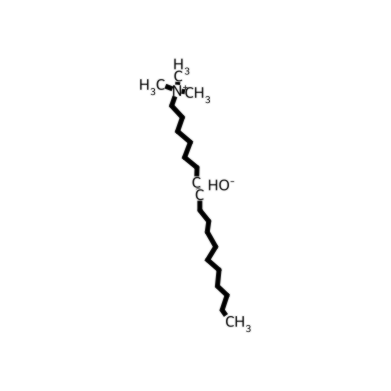 CCCCCCCCCCCCCCCCCC[N+](C)(C)C.[OH-]